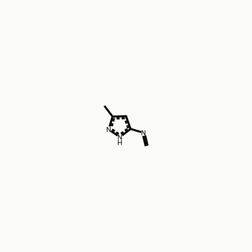 C=Nc1cc(C)n[nH]1